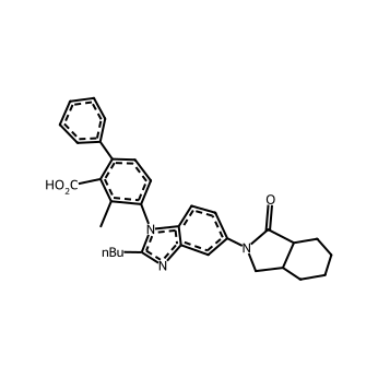 CCCCc1nc2cc(N3CC4CCCCC4C3=O)ccc2n1-c1ccc(-c2ccccc2)c(C(=O)O)c1C